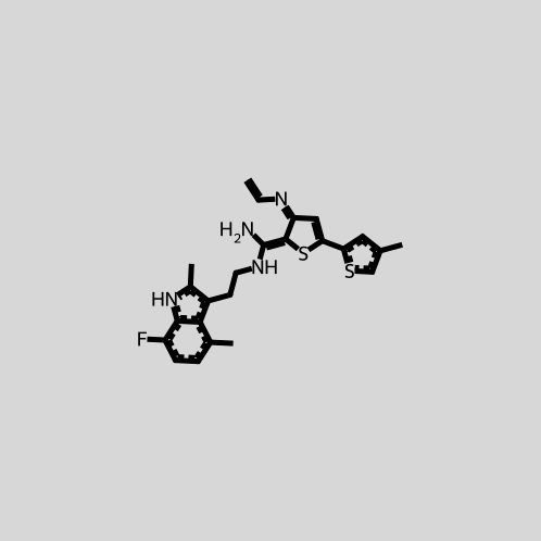 C=C/N=C1/C=C(c2cc(C)cs2)S/C1=C(/N)NCCc1c(C)[nH]c2c(F)ccc(C)c12